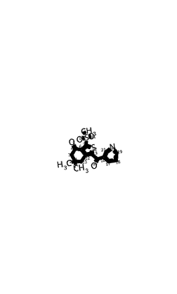 CC1(C)CC(=O)c2c(S(C)(=O)=O)sc(C(=O)c3cccnc3)c2C1